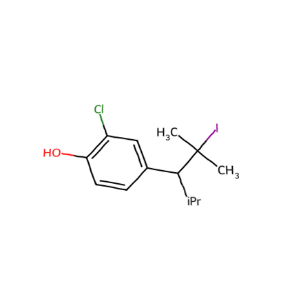 CC(C)C(c1ccc(O)c(Cl)c1)C(C)(C)I